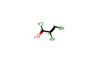 O=C(Cl)C(Br)=CBr